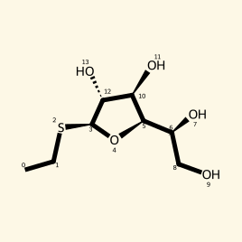 CCS[C@@H]1O[C@H]([C@@H](O)CO)[C@H](O)[C@H]1O